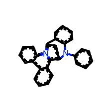 c1ccc(N2c3ccccc3-c3cc2c2c4ccccc4c4ccccc4n32)cc1